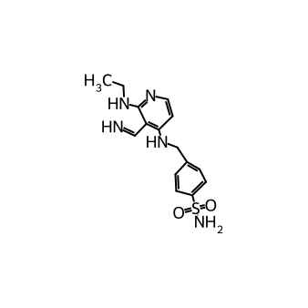 CCNc1nccc(NCc2ccc(S(N)(=O)=O)cc2)c1C=N